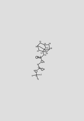 CC(C)(C)OC(=O)COC(=O)CC12CC3CC(CC(C3)C1)C2